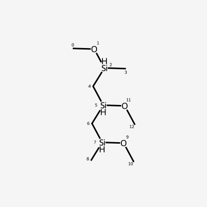 CO[SiH](C)C[SiH](C[SiH](C)OC)OC